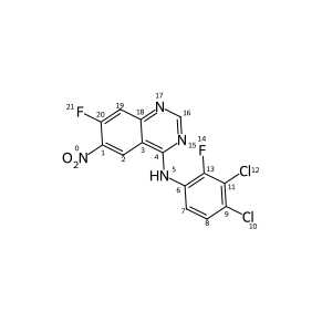 O=[N+]([O-])c1cc2c(Nc3ccc(Cl)c(Cl)c3F)ncnc2cc1F